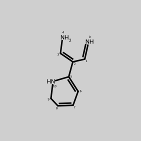 N=C/C(=C\N)C1=CC=CCN1